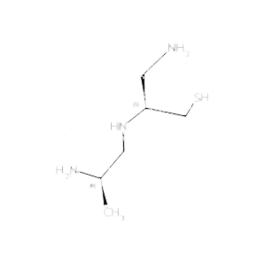 C[C@@H](N)CN[C@@H](CN)CS